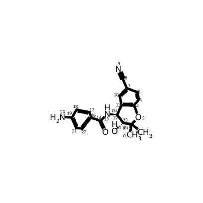 CC1(C)Oc2ccc(C#N)cc2[C@H](NC(=O)c2ccc(N)cc2)[C@H]1O